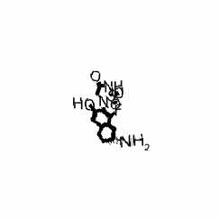 N[C@@H]1CCc2cc(O)c(N3CC(=O)NS3(=O)=O)c(F)c2C1